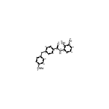 COc1ccc(Cc2ccc(C(=O)Nc3cccc(C(C)=O)c3O)cc2)cc1